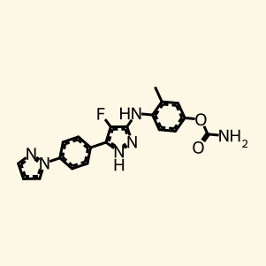 Cc1cc(OC(N)=O)ccc1Nc1n[nH]c(-c2ccc(-n3cccn3)cc2)c1F